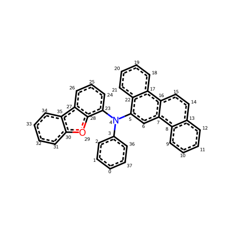 c1ccc(N(c2cc3c4ccccc4ccc3c3ccccc23)c2cccc3c2oc2ccccc23)cc1